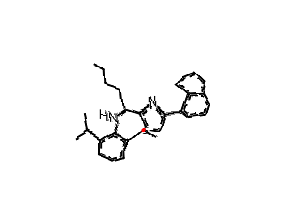 CCCCC(Nc1c(C(C)C)cccc1C(C)C)c1nc(-c2cccc3ccccc23)cs1